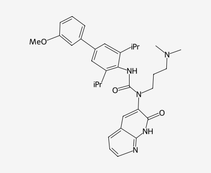 COc1cccc(-c2cc(C(C)C)c(NC(=O)N(CCCN(C)C)c3cc4cccnc4[nH]c3=O)c(C(C)C)c2)c1